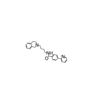 O=C(NCCCCN1CCc2ccccc2C1)c1ccc(-c2ccccn2)cc1